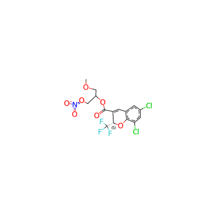 COCC(CO[N+](=O)[O-])OC(=O)C1=Cc2cc(Cl)cc(Cl)c2O[C@@H]1C(F)(F)F